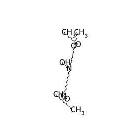 CCCCCCC(CCCC)C(=O)OCCCCCCCCCCCN(CCCO)CCCCCCCCCOC(=O)C(CCCC)CCCCCC